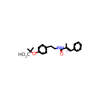 C/C(=C\c1ccccc1)C(=O)NCCc1ccc(OC(C)(C)C(=O)O)cc1